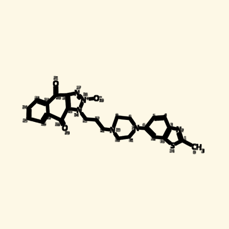 Cc1nc2ccc(N3CCN(CCCn4c5c(n[n+]4[O-])C(=O)c4ccccc4C5=O)CC3)cc2s1